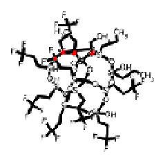 CCC[Si]1(O)O[Si]2(CCC(F)(F)F)OC34O[Si]5(CCC)O[Si]6(CCC(F)(F)F)O[SiH](CCC(F)(F)F)O[SiH](CCC(F)(F)F)O[Si]37CC(C(F)(F)F)(O[Si](O)(CCC(F)(F)F)O2)[Si](CCC(F)(F)F)(O7)O[Si]4(CCC(F)(F)F)O[Si](CCC)(O5)O[Si](CCC)(O1)O6